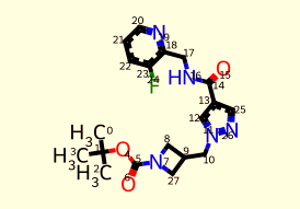 CC(C)(C)OC(=O)N1CC(Cn2cc(C(=O)NCc3ncccc3F)cn2)C1